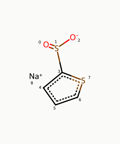 O=S([O-])c1cccs1.[Na+]